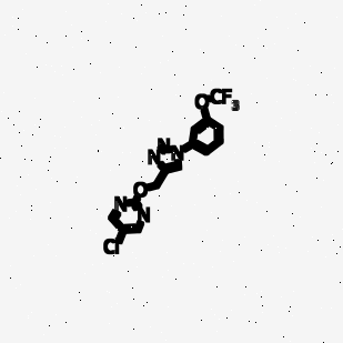 FC(F)(F)Oc1cccc(-n2cc(COc3ncc(Cl)cn3)nn2)c1